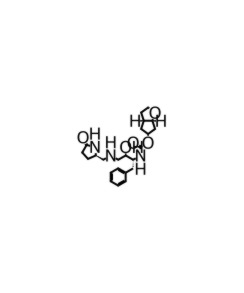 O=C1CC[C@H](CNC[C@@H](O)[C@@H](Cc2ccccc2)NC(=O)O[C@@H]2C[C@@H]3CCO[C@@H]3C2)N1